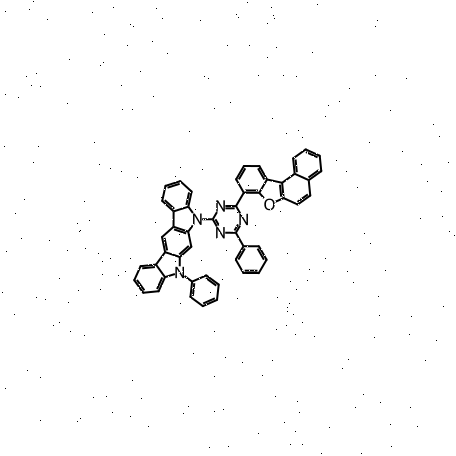 c1ccc(-c2nc(-c3cccc4c3oc3ccc5ccccc5c34)nc(-n3c4ccccc4c4cc5c6ccccc6n(-c6ccccc6)c5cc43)n2)cc1